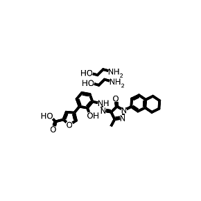 CC1=NN(c2ccc3c(c2)CCCC3)C(=O)C1=NNc1cccc(-c2coc(C(=O)O)c2)c1O.NCCO.NCCO